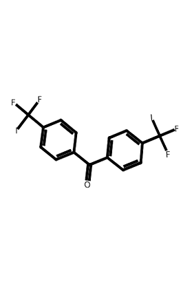 O=C(c1ccc(C(F)(F)I)cc1)c1ccc(C(F)(F)I)cc1